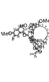 COC[C@@H]1CCCCC=C[C@@H]2C[C@@]2(C(=O)NS(=O)(=O)C2CC2)NC(=O)[C@@H]2C[C@@H](Oc3cccc4cc(OC)c(F)cc34)CN2C(=O)[C@H]1NC(=O)O